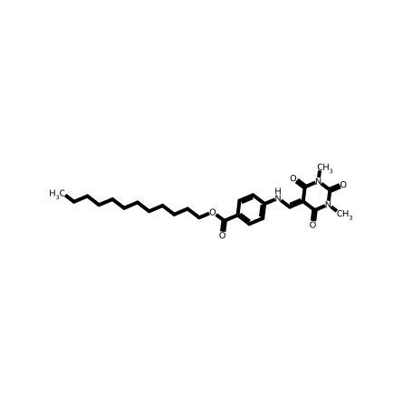 CCCCCCCCCCCCOC(=O)c1ccc(NC=C2C(=O)N(C)C(=O)N(C)C2=O)cc1